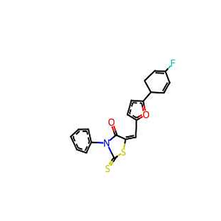 O=C1/C(=C\c2ccc(C3C=CC(F)=CC3)o2)SC(=S)N1c1ccccc1